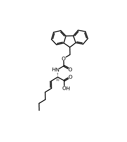 CCCCC=C[C@H](NC(=O)OCC1c2ccccc2-c2ccccc21)C(=O)O